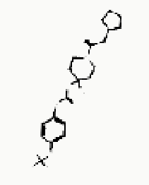 O=C(Nc1ccc(OC(F)(F)F)cc1)OC1(O)CCN(C(=O)CC2CCCC2)CC1